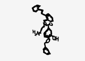 NCCN(Cc1ccccc1CCc1ccccc1)C(=O)c1ccc(OCc2ccccc2)c(O)c1